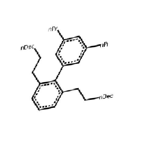 CCCCCCCCCCCCc1cccc(CCCCCCCCCCCC)c1-c1cc(CCC)[c]c(CCC)c1